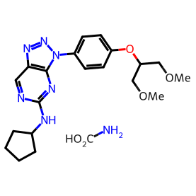 COCC(COC)Oc1ccc(-n2nnc3cnc(NC4CCCC4)nc32)cc1.NC(=O)O